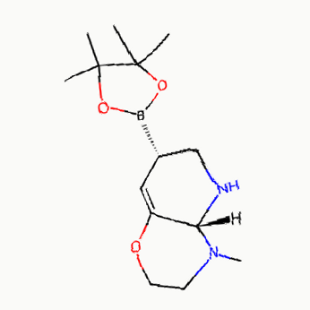 CN1CCOC2=C[C@H](B3OC(C)(C)C(C)(C)O3)CN[C@@H]21